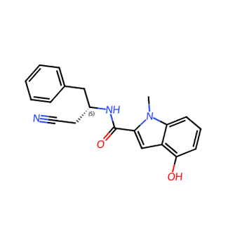 Cn1c(C(=O)N[C@H](CC#N)Cc2ccccc2)cc2c(O)cccc21